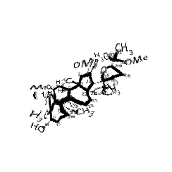 CO[C@H]1C[C@@]2(C)[C@@H]3C[C@H](OC)[C@H]4C(C)(C)[C@@H](O)CC[C@]4(C)C3=CC[C@]2(C)[C@H]1[C@@]1(C)CC[C@@H](C(C)(C)OC)O1